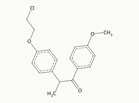 COc1ccc(C(=O)C(C)c2ccc(OCCCl)cc2)cc1